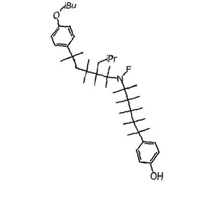 CCC(C)Oc1ccc(C(C)(C)CC(C)(C)C(C)(CC(C)C)C(C)(C)N(F)C(C)(C)C(C)(C)C(C)(C)C(C)(C)C(C)(C)c2ccc(O)cc2)cc1